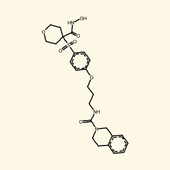 O=C(NCCCOc1ccc(S(=O)(=O)C2(C(=O)NO)CCOCC2)cc1)N1CCc2ccccc2C1